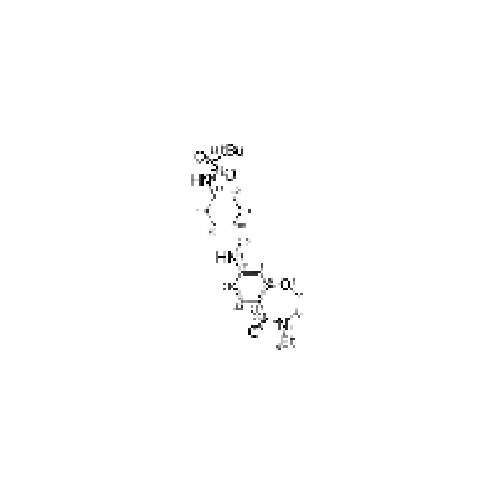 CCN1CCOc2cc(NC[C@H]3CC[C@H](NS(=O)(=O)C(C)(C)C)CC3)ccc2C1=O